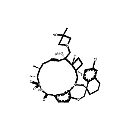 CO[C@@]1(CN2CC(C)(C#N)C2)/C=C/C[C@H](C)[C@@H](C)S(=O)(=O)NC(=O)c2ccc3c(c2)N(C[C@@H]2CC[C@H]21)C[C@@]1(CCCc2cc(Cl)ccc21)CO3